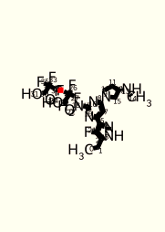 CCc1[nH]nc(-c2cc(N3CC[C@@H](NC)C3)nc(N)n2)c1F.O=C(O)C(F)(F)F.O=C(O)C(F)(F)F